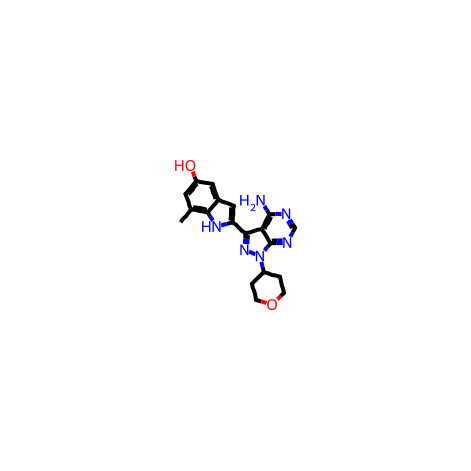 Cc1cc(O)cc2cc(-c3nn(C4CCOCC4)c4ncnc(N)c34)[nH]c12